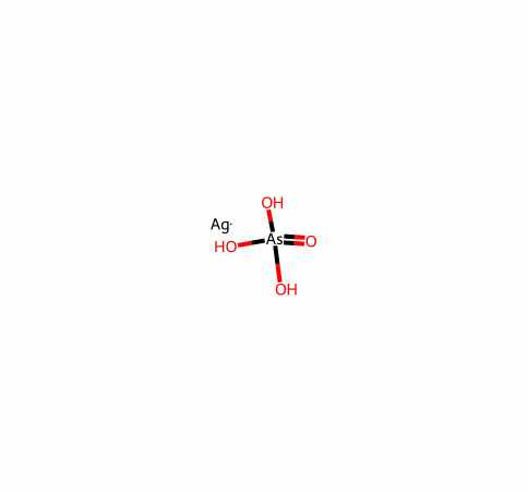 O=[As](O)(O)O.[Ag]